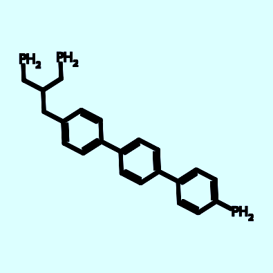 PCC(CP)Cc1ccc(-c2ccc(-c3ccc(P)cc3)cc2)cc1